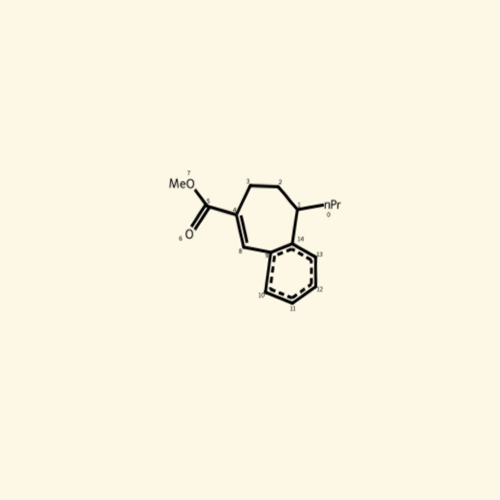 CCCC1CCC(C(=O)OC)=Cc2ccccc21